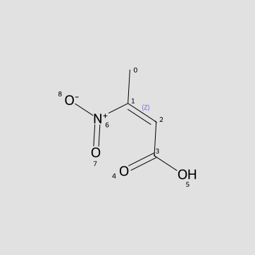 C/C(=C/C(=O)O)[N+](=O)[O-]